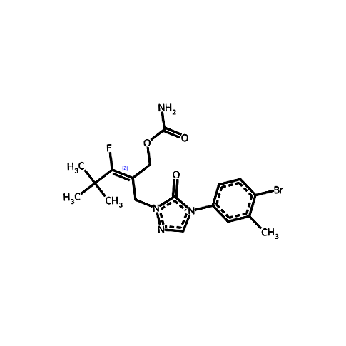 Cc1cc(-n2cnn(C/C(COC(N)=O)=C(/F)C(C)(C)C)c2=O)ccc1Br